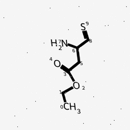 CCOC(=O)CC(N)C=S